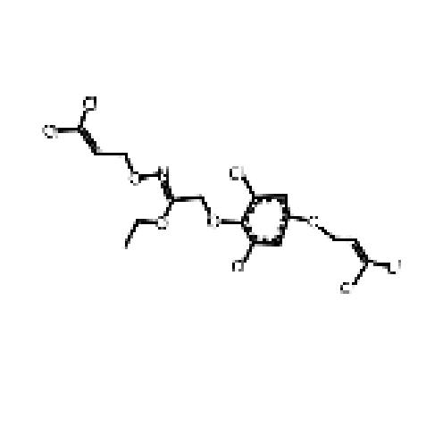 CCOC(COc1c(Cl)cc(OCC=C(Cl)Cl)cc1Cl)=NOCC=C(Cl)Cl